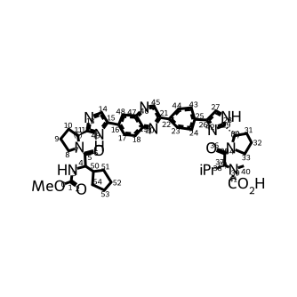 COC(=O)NC(C(=O)N1CCC[C@H]1c1ncc(-c2ccc3nc(-c4ccc(-c5c[nH]c([C@@H]6CCCN6C(=O)[C@H](C(C)C)N(C)C(=O)O)n5)cc4)cnc3c2)[nH]1)C1CCCC1